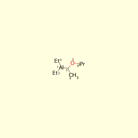 C[CH2][Al]([CH2]C)[CH](C)OC(C)C